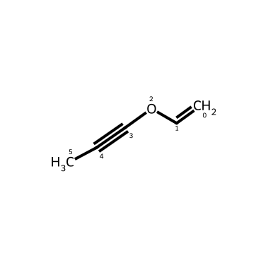 C=COC#CC